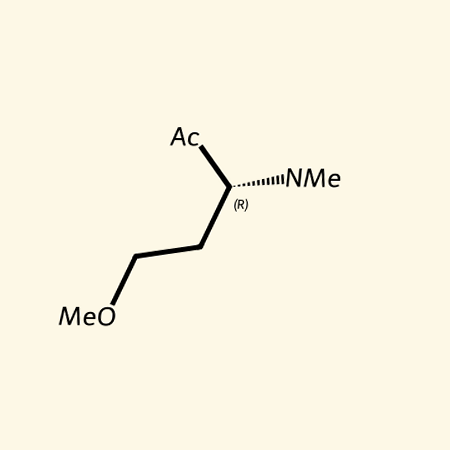 CN[C@H](CCOC)C(C)=O